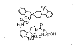 CC(C)(C)c1ccccc1C1CCN(C(=O)[C@H]2C[C@@H](O)CN2C(=O)O)CC1.NS(=O)(=O)Oc1ccccc1CC(=O)N1CCC(c2ccccc2C(F)(F)F)CC1